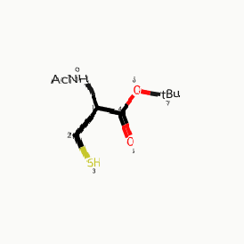 CC(=O)NC(CS)C(=O)OC(C)(C)C